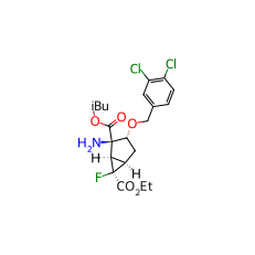 CCOC(=O)[C@@]1(F)[C@@H]2C[C@@H](OCc3ccc(Cl)c(Cl)c3)[C@@](N)(C(=O)OC(C)CC)[C@@H]21